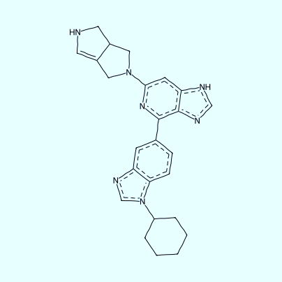 C1=C2CN(c3cc4[nH]cnc4c(-c4ccc5c(c4)ncn5C4CCCCC4)n3)CC2CN1